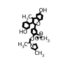 CC1=C(c2cccc(O)c2)C(c2ccc(OC[C@H](C)N3CC[C@@H](C)C3)c(S(C)(=O)=O)c2)Oc2ccc(O)cc21